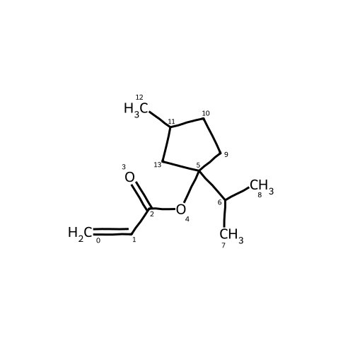 C=CC(=O)OC1(C(C)C)CCC(C)C1